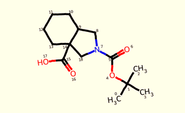 CC(C)(C)OC(=O)N1CC2CC[CH]CC2(C(=O)O)C1